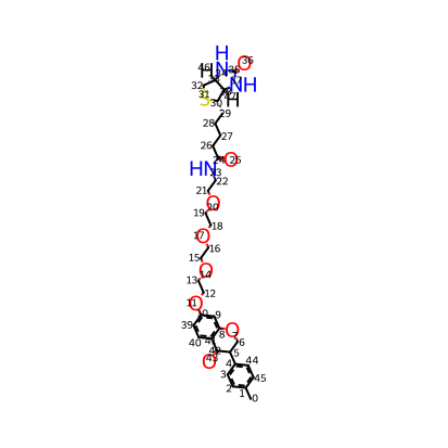 Cc1ccc(C2COc3cc(OCCOCCOCCOCCNC(=O)CCCC[C@@H]4SC[C@@H]5NC(=O)N[C@@H]54)ccc3C2=O)cc1